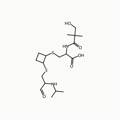 CC(C)NC(C=O)CSC1CCC1SCC(NC(=O)C(C)(C)CO)C(=O)O